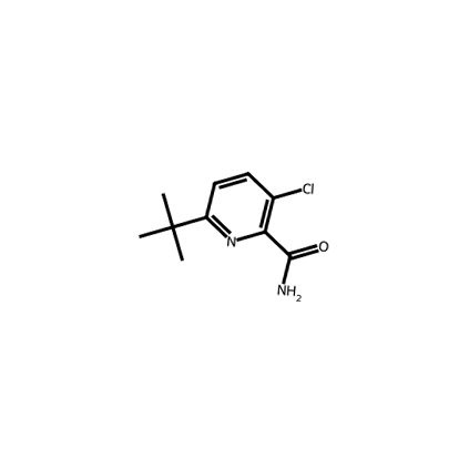 CC(C)(C)c1ccc(Cl)c(C(N)=O)n1